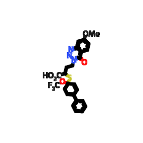 COc1ccc2c(=O)n(CCC(SC3(OC(F)(F)F)C=CC(c4ccccc4)=CC3)C(=O)O)nnc2c1